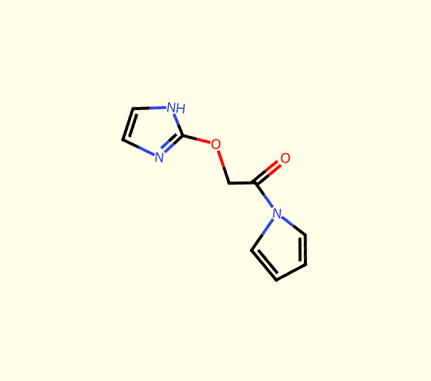 O=C(COc1ncc[nH]1)n1cccc1